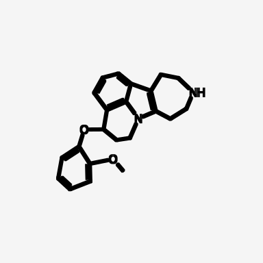 COc1ccccc1OC1CCn2c3c(c4cccc1c42)CCNCC3